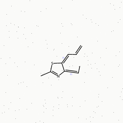 C=C/C=c1/sc(C)n/c1=C/C